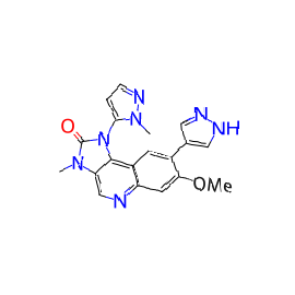 COc1cc2ncc3c(c2cc1-c1cn[nH]c1)n(-c1ccnn1C)c(=O)n3C